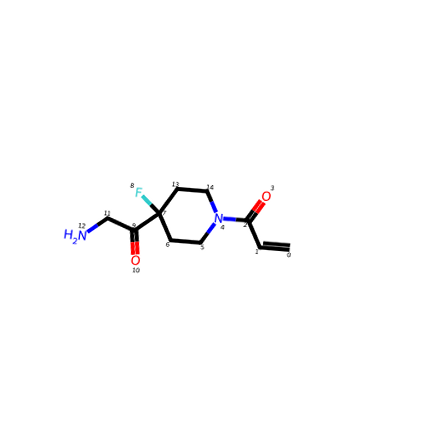 C=CC(=O)N1CCC(F)(C(=O)CN)CC1